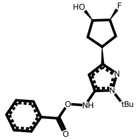 CC(C)(C)n1nc([C@H]2C[C@@H](O)[C@@H](F)C2)cc1NOC(=O)c1ccccc1